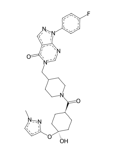 Cn1ccc(O[C@]2(O)CC[C@H](C(=O)N3CCC(Cn4cnc5c(cnn5-c5ccc(F)cc5)c4=O)CC3)CC2)n1